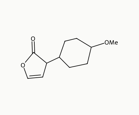 COC1CCC(C2C=COC2=O)CC1